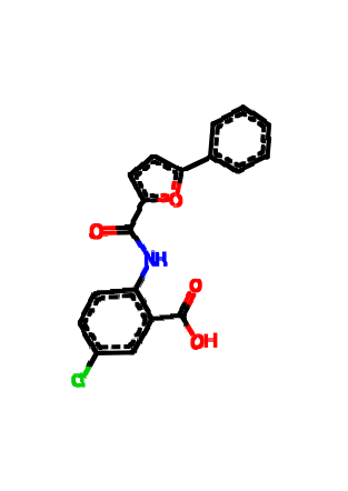 O=C(Nc1ccc(Cl)cc1C(=O)O)c1ccc(-c2ccccc2)o1